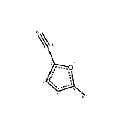 C#Cc1ccc([CH2])o1